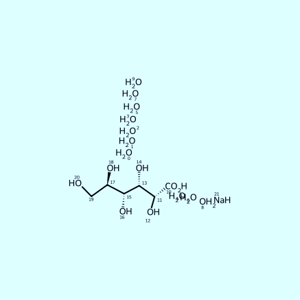 O.O.O.O.O.O.O.O.O.O.O=C(O)[C@H](O)[C@@H](O)[C@H](O)[C@H](O)CO.[NaH]